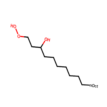 CCCCCCCCCCCCCCCC(O)CCOO